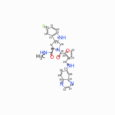 CNC(=O)[C@H]1Cc2c([nH]c3ccc(F)cc23)CN1C(=O)c1occc1CNc1ccc2nccnc2c1